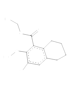 CCOC(=O)c1c2c(cc(Cl)c1OC)CCCC2